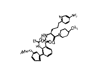 CCC(=O)Nc1c(-c2cccc(OC)c2)cccc1S(=O)(=O)N[C@@H](CCCc1ccc(N)cn1)C(=O)N1CCC(C)CC1